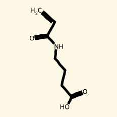 C=CC(=O)NCCCC(=O)O